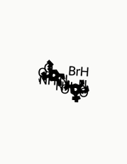 Br.CCOc1cc2c(cc1C(=O)NC)C(=N)N(CC(=O)c1cc3c(c(C(C)(C)C)c1)OCCN3C)C2